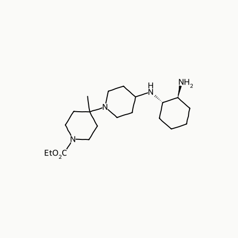 CCOC(=O)N1CCC(C)(N2CCC(N[C@H]3CCCC[C@@H]3N)CC2)CC1